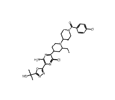 CCC1CC(c2nc(N)c(-c3nnc(C(C)(C)O)o3)nc2Cl)CCN1C1CCN(C(=O)c2ccc(Cl)cc2)CC1